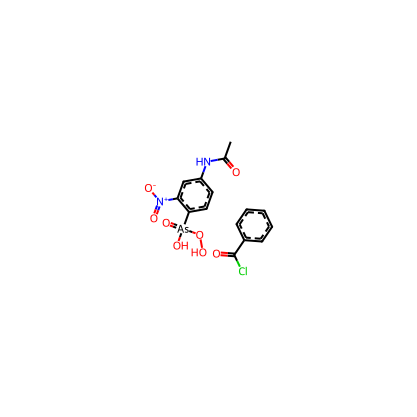 CC(=O)Nc1ccc([As](=O)(O)OO)c([N+](=O)[O-])c1.O=C(Cl)c1ccccc1